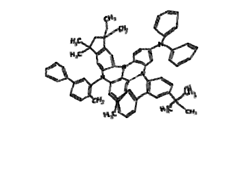 Cc1cc2c3c(c1)N(c1ccc(C(C)(C)C)cc1-c1ccccc1)c1cc(N(c4ccccc4)c4ccccc4)ccc1B3c1cc3c(cc1N2c1cc(-c2ccccc2)ccc1C)C(C)(C)CC3(C)C